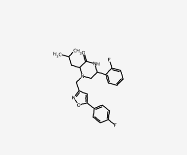 CC(C)CC1C(=O)NC(c2ccccc2F)CN1Cc1cc(-c2ccc(F)cc2)on1